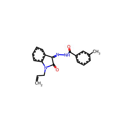 C=CCN1C(=O)/C(=N\NC(=O)c2cccc(C)c2)c2ccccc21